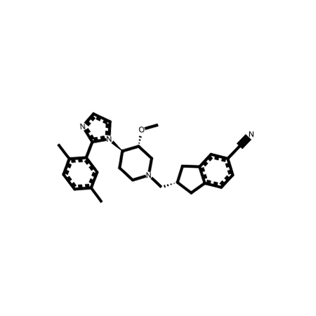 CO[C@@H]1CN(C[C@H]2Cc3ccc(C#N)cc3C2)CC[C@H]1n1ccnc1-c1cc(C)ccc1C